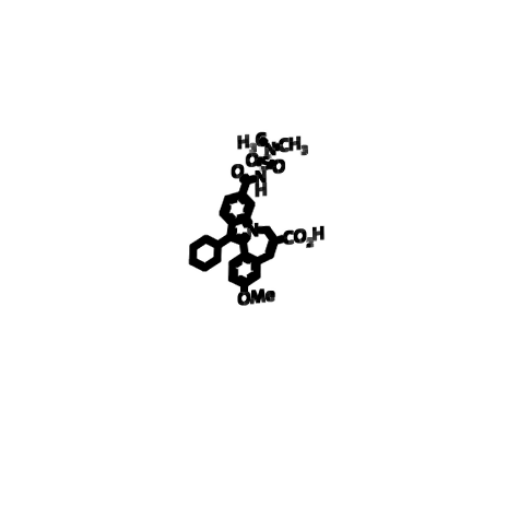 COc1ccc2c(c1)C=C(C(=O)O)Cn1c-2c(C2CCCCC2)c2ccc(C(=O)NS(=O)(=O)N(C)C)cc21